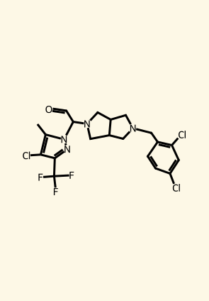 Cc1c(Cl)c(C(F)(F)F)nn1C(C=O)N1CC2CN(Cc3ccc(Cl)cc3Cl)CC2C1